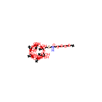 CC(C)(C)CCOCCOCCOCCOCCC(=O)NCCSCCCOC1C(O)C2OC(CC(C)(C)C)C1OC1OC(CC(C)(C)C)C(OC3OC(CC(C)(C)C)C(OC4OC(CC(C)(C)C)C(OC5OC(CC(C)(C)C)C(OC6OC(CC(C)(C)C)C(O2)C(O)C6O)C(O)C5O)C(O)C4O)C(O)C3O)C(O)C1O